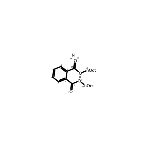 CCCCCCCCOC(=O)c1ccccc1C(=O)OCCCCCCCC.[Ni]